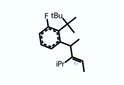 C/C=C(\C(C)C)C(C)c1cccc(F)c1C(C)(C)C(C)(C)C